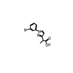 CC(C(=O)O)c1ccn(-c2cccc(Br)c2)n1